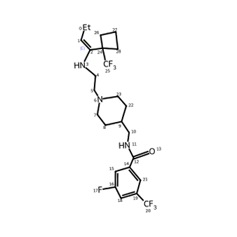 CC/C=C(/NCCN1CCC(CNC(=O)c2cc(F)cc(C(F)(F)F)c2)CC1)C1(C(F)(F)F)CCC1